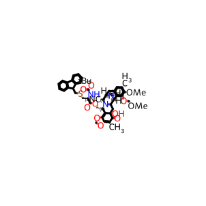 COCOc1c(OC)c(C)cc2c1[C@H]1C3CC4(O)C(=O)C(C)=C5OCOC5=C4[C@H](COC(=O)[C@@H](CSCC4c5ccccc5-c5ccccc54)NC(=O)OC(C)(C)C)N3[C@@H](C#N)[C@H](C2)N1C